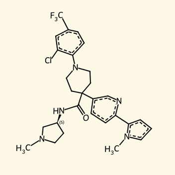 CN1CC[C@H](NC(=O)C2(c3ccc(-c4cccn4C)nc3)CCN(c3ccc(C(F)(F)F)cc3Cl)CC2)C1